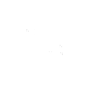 C=NS(=O)(=O)c1cccc(-c2nnc(C)o2)c1